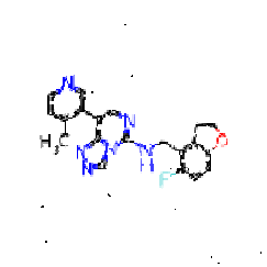 Cc1ccncc1-c1cnc(NCc2c(F)ccc3c2CCO3)n2cnnc12